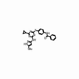 CC(C)(C)c1cc(Nc2nc(Sc3ccc(NC(=O)c4ccccc4)cc3)nc(C3CC3)n2)n[nH]1